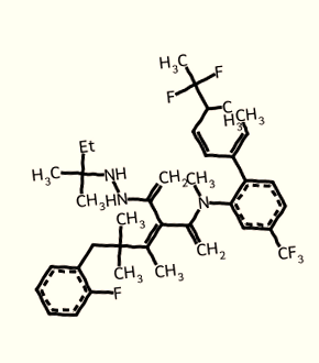 C=C(NNC(C)(C)CC)/C(C(=C)N(C)c1cc(C(F)(F)F)ccc1C(/C=C\C(C)C(C)(F)F)=C/C)=C(/C)C(C)(C)Cc1ccccc1F